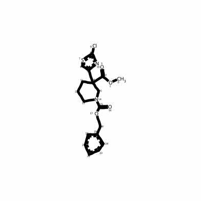 COC(=O)C1(c2csc(Cl)n2)CCCN(C(=O)OCc2ccccc2)C1